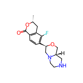 C[C@@H]1Cc2c(ccc([C@@H]3CN4CCNC[C@H]4CO3)c2F)C(=O)O1